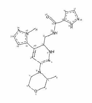 CC1COCCN1C1=NNC(CNC(=O)c2ccn[nH]2)C(c2ccnn2C)=C1